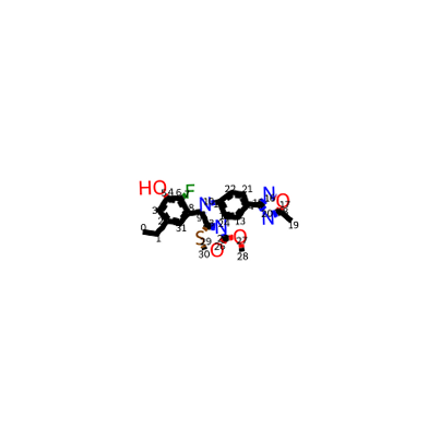 CCc1cc(O)c(F)c(C(=N/c2ccc(-c3noc(C)n3)cc2)/C(=N/C(=O)OC)SC)c1